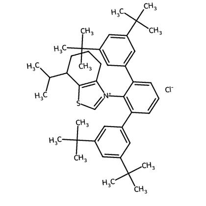 CC(C)C1CCCc2c1sc[n+]2-c1c(-c2cc(C(C)(C)C)cc(C(C)(C)C)c2)cccc1-c1cc(C(C)(C)C)cc(C(C)(C)C)c1.[Cl-]